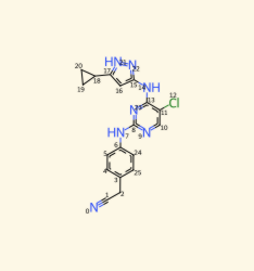 N#CCc1ccc(Nc2ncc(Cl)c(Nc3cc(C4CC4)[nH]n3)n2)cc1